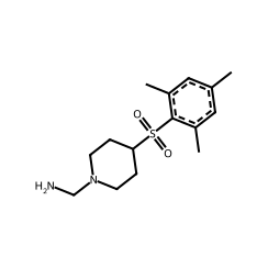 Cc1cc(C)c(S(=O)(=O)C2CCN(CN)CC2)c(C)c1